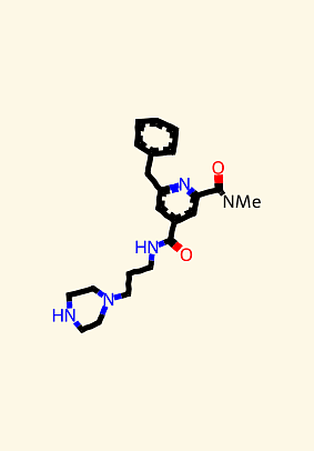 CNC(=O)c1cc(C(=O)NCCCN2CCNCC2)cc(Cc2ccccc2)n1